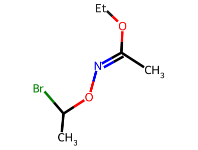 CCOC(C)=NOC(C)Br